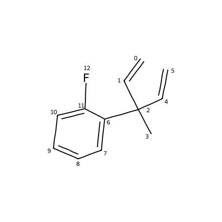 C=CC(C)(C=C)c1ccccc1F